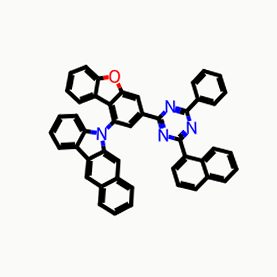 c1ccc(-c2nc(-c3cc(-n4c5ccccc5c5cc6ccccc6cc54)c4c(c3)oc3ccccc34)nc(-c3cccc4ccccc34)n2)cc1